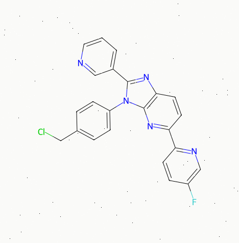 Fc1ccc(-c2ccc3nc(-c4cccnc4)n(-c4ccc(CCl)cc4)c3n2)nc1